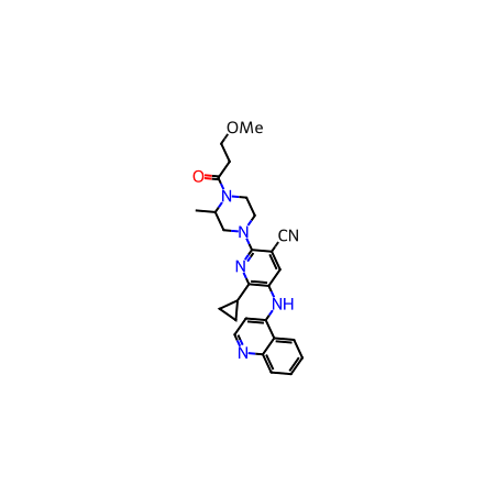 COCCC(=O)N1CCN(c2nc(C3CC3)c(Nc3ccnc4ccccc34)cc2C#N)CC1C